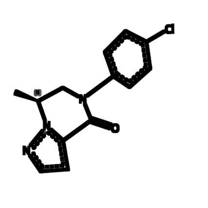 C[C@H]1CN(c2ccc(Cl)cc2)C(=O)c2ccnn21